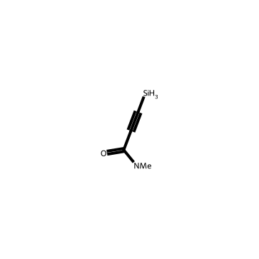 CNC(=O)C#C[SiH3]